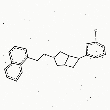 Clc1cccc(C2CC3CN(CCc4cccc5ccccc45)CC32)c1